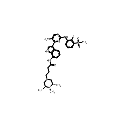 Cc1cnc(Nc2cccc(S(C)(=O)=O)c2F)nc1-c1c[nH]c2c(NC(=O)CCCN3C[C@H](C)N(C)[C@@H](C)C3)cccc12